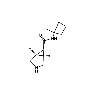 CC1(NC(=O)[C@H]2[C@@H]3CNC[C@@H]32)CCC1